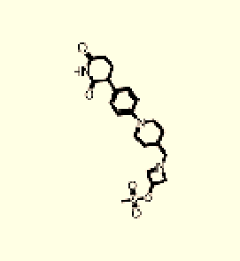 CS(=O)(=O)OC1CN(CC2CCN(c3ccc(C4CCC(=O)NC4=O)cc3)CC2)C1